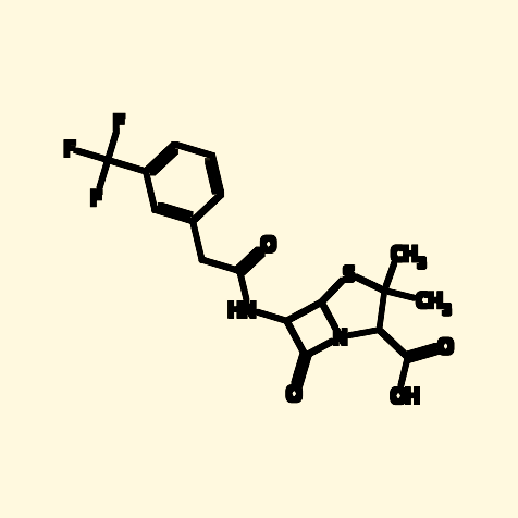 CC1(C)SC2C(NC(=O)Cc3cccc(C(F)(F)F)c3)C(=O)N2C1C(=O)O